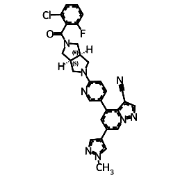 Cn1cc(-c2cc(-c3ccc(N4C[C@H]5CN(C(=O)c6c(F)cccc6Cl)C[C@H]5C4)nc3)c3c(C#N)cnn3c2)cn1